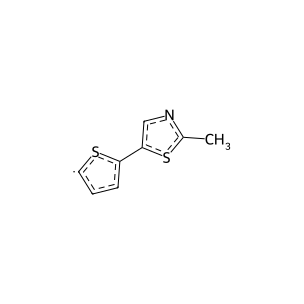 Cc1ncc(-c2cc[c]s2)s1